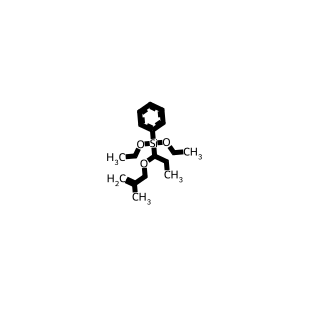 C=C(C)COC(CC)[Si](OCC)(OCC)c1ccccc1